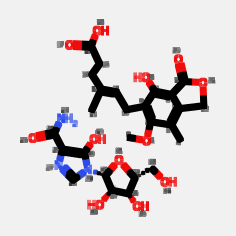 COc1c(C)c2c(c(O)c1C/C=C(\C)CCC(=O)O)C(=O)OC2.NC(=O)c1ncn([C@@H]2O[C@H](CO)[C@@H](O)[C@H]2O)c1O